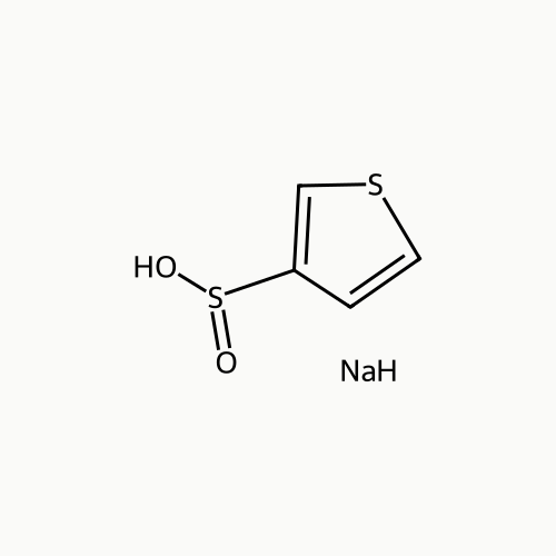 O=S(O)c1ccsc1.[NaH]